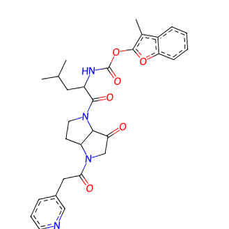 Cc1c(OC(=O)NC(CC(C)C)C(=O)N2CCC3C2C(=O)CN3C(=O)Cc2cccnc2)oc2ccccc12